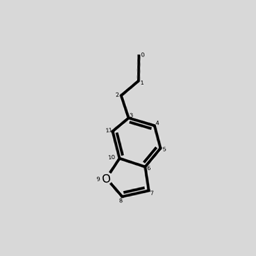 CCCc1ccc2ccoc2c1